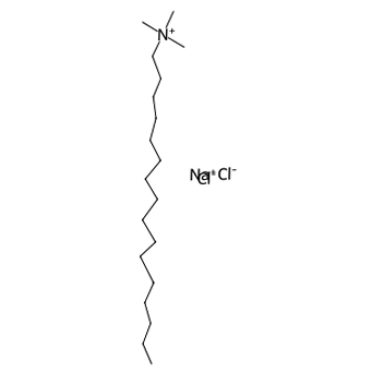 CCCCCCCCCCCCCCCC[N+](C)(C)C.[Cl-].[Cl-].[Na+]